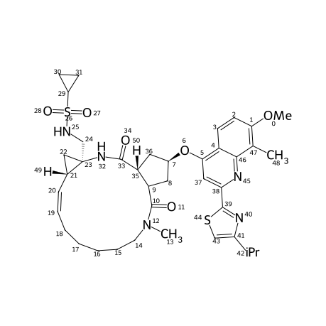 COc1ccc2c(O[C@H]3CC4C(=O)N(C)CCCCC/C=C\[C@@H]5C[C@@]5(CNS(=O)(=O)C5CC5)NC(=O)[C@@H]4C3)cc(-c3nc(C(C)C)cs3)nc2c1C